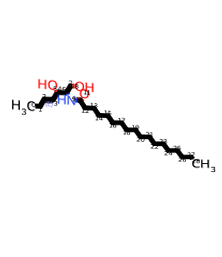 CC/C=C/C(O)C(CO)NC(=O)CCCCCCCCCCCCCCCCC